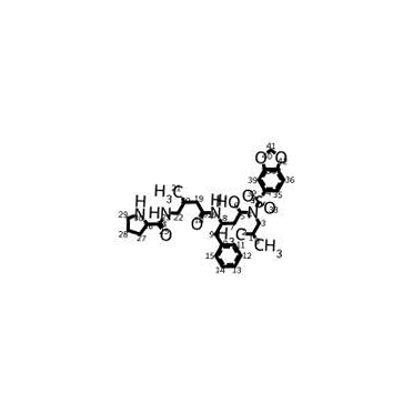 CC(C)CN(C(O)CC(Cc1ccccc1)NC(=O)CC(C)CNC(=O)C1CCCN1)S(=O)(=O)c1ccc2c(c1)OCO2